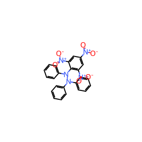 O=[N+]([O-])c1cc([N+](=O)[O-])c(N(c2ccccc2)N(c2ccccc2)c2ccccc2)c([N+](=O)[O-])c1